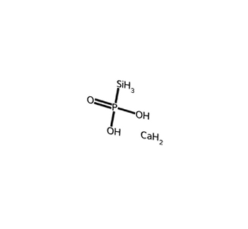 O=P(O)(O)[SiH3].[CaH2]